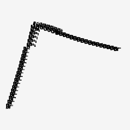 [Br-].[Br-].[Br-].[Br-].[Br-].[Br-].[Br-].[Br-].[Br-].[Br-].[Br-].[Br-].[Br-].[Br-].[Br-].[Br-].[Br-].[Br-].[Br-].[Br-].[Br-].[Br-].[Br-].[Br-].[Br-].[Br-].[Br-].[Br-].[Br-].[Br-].[Br-].[Br-].[Br-].[Br-].[CH3][Mg+].[N+3].[N+3].[N+3].[N+3].[N+3].[N+3].[N+3].[N+3].[N+3].[N+3].[N+3]